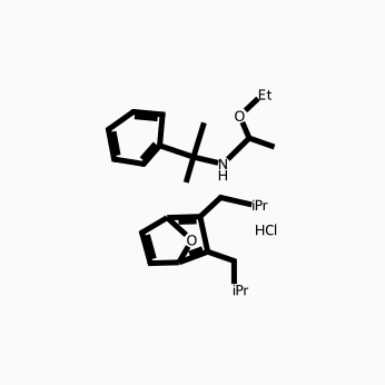 CC(C)Cc1c(CC(C)C)c2ccc1o2.CCOC(C)NC(C)(C)c1ccccc1.Cl